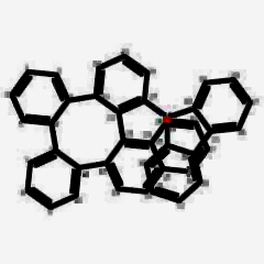 c1ccc2c(c1)-c1ccccc1-c1ccc3ncccc3c1-c1c-2cccc1-n1c2ccccc2c2ccccc21